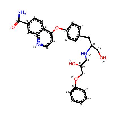 NC(=O)c1ccc2c(Oc3ccc(C[C@@H](CO)NC[C@H](O)COc4ccccc4)cc3)ccnc2c1